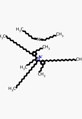 CCCCCCCCC#[C][Ni][C]#CCCCCCCCC.CCCCCCCCCCCCCCCCC=CC1=C(c2cc(CCCCC)cc(CCCCCCCCCCCCCCCCC)c2)[N+](=[N-])C(c2cc(CCCCC)cc(CCCCCCCCCCCCCCCCC)c2)=C1CCCCCC